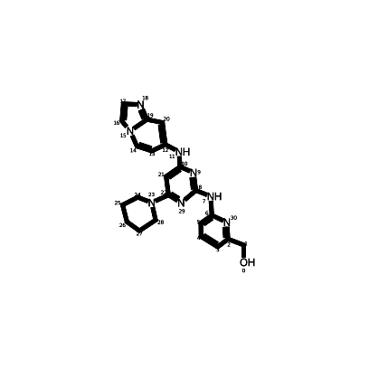 OCc1cccc(Nc2nc(Nc3ccn4ccnc4c3)cc(N3CCCCC3)n2)n1